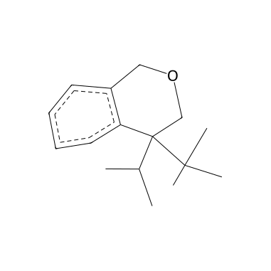 CC(C)C1(C(C)(C)C)COCc2ccccc21